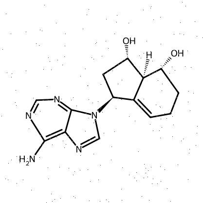 Nc1ncnc2c1ncn2[C@H]1C[C@H](O)[C@@H]2C1=CCC[C@H]2O